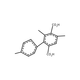 Cc1ccc(-c2c(C(=O)O)cc(C)c(C(=O)O)c2C)cc1